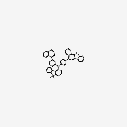 CC1(C)c2ccccc2-c2c(N(c3ccc(-c4cc5c6ccccc6oc5c5ccccc45)cc3)c3cccc(-c4cccc5ccccc45)c3)cccc21